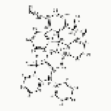 CC1(C)c2ccccc2N(c2ccccc2)c2ccc(C3(c4ccccc4)c4ccccc4S(=O)(=O)c4ccc(C#N)cc43)cc21